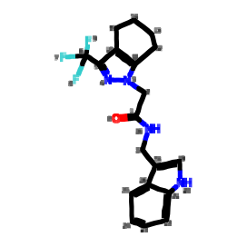 O=C(Cn1nc(C(F)(F)F)c2c1CCCC2)NCc1c[nH]c2ccccc12